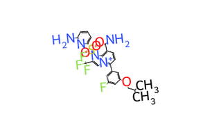 CC(C)COc1cc(F)cc(-c2ccc(C(N)=O)c3n(S(=O)(=O)c4cccc(N)n4)c(C(F)(F)F)c[n+]23)c1